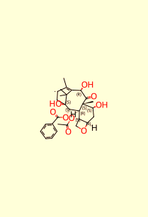 CC(=O)O[C@@]12CO[C@@H]1C[C@H](O)[C@@]1(C)C(=O)[C@H](O)C3=C(C)[CH]C[C@@](O)([C@@H](OC(=O)c4ccccc4)[C@H]21)C3(C)C